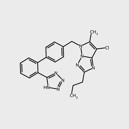 CCCc1nc2c(Cl)c(C)n(Cc3ccc(-c4ccccc4-c4nnn[nH]4)cc3)n2n1